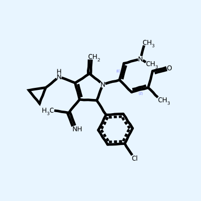 C=C1C(NC2CC2)=C(C(C)=N)C(c2ccc(Cl)cc2)N1C(/C=C(/C)C=O)=C/N(C)C